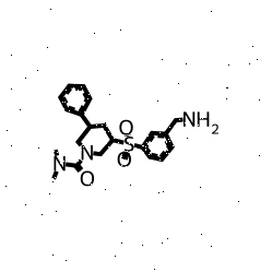 CN(C)C(=O)N1CC(c2ccccc2)CC(S(=O)(=O)c2cccc(CN)c2)C1